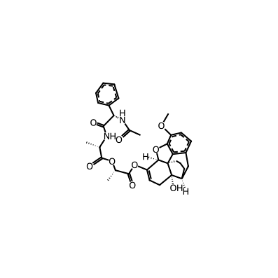 COc1ccc2c3c1O[C@@H]1C(OC(=O)[C@H](C)OC(=O)[C@H](C)NC(=O)[C@@H](NC(C)=O)c4ccccc4)=CC[C@]4(O)[C@@H](CCC[C@@]314)C2